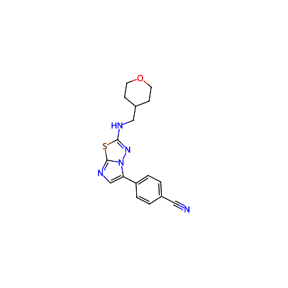 N#Cc1ccc(-c2cnc3sc(NCC4CCOCC4)nn23)cc1